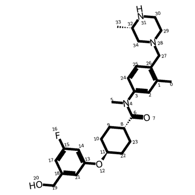 Cc1cc(N(C)C(=O)[C@H]2CC[C@H](Oc3cc(F)cc(CO)c3)CC2)ccc1CN1CCN[C@@H](C)C1